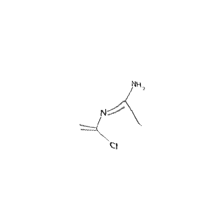 C=C(Cl)/N=C(\C)N